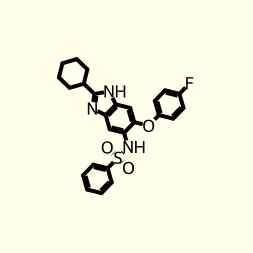 O=S(=O)(Nc1cc2nc(C3CCCCC3)[nH]c2cc1Oc1ccc(F)cc1)c1ccccc1